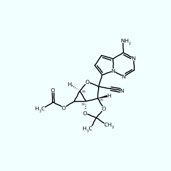 CC(=O)OC1[C@H]2OC(C#N)(c3ccc4c(N)ncnn34)[C@@H]3OC(C)(C)O[C@]123